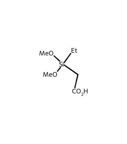 CC[Si](CC(=O)O)(OC)OC